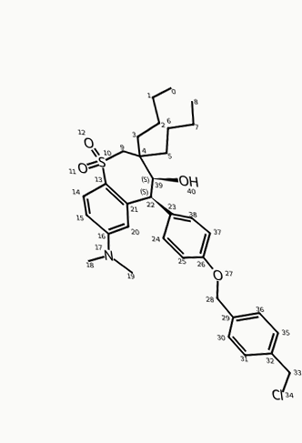 CCCCC1(CCCC)CS(=O)(=O)c2ccc(N(C)C)cc2[C@H](c2ccc(OCc3ccc(CCl)cc3)cc2)[C@@H]1O